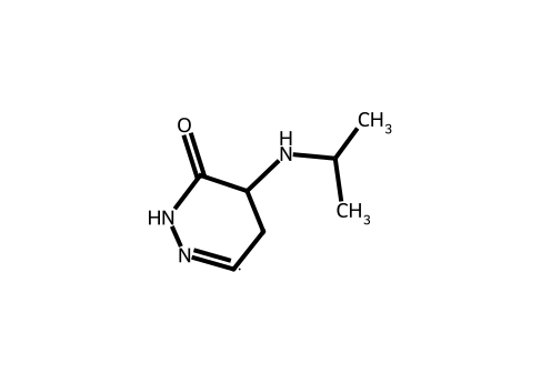 CC(C)NC1C[C]=NNC1=O